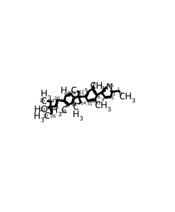 CCc1ccc(-c2c(C)cc(C(CC)(CC)c3ccc(/C=C/C(O)(CC)CC)c(C)c3)cc2C)cn1